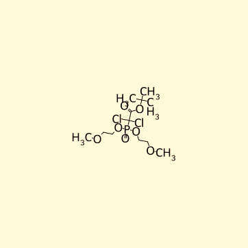 COCCOP(=O)(OCCOC)C(Cl)(Cl)C(=O)OC(C)(C)C